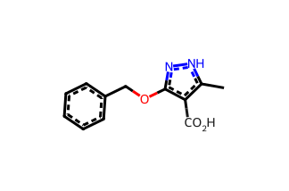 Cc1[nH]nc(OCc2ccccc2)c1C(=O)O